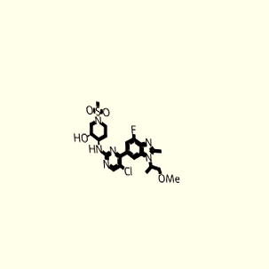 COCC(C)n1c(C)nc2c(F)cc(-c3nc(N[C@@H]4CCN(S(C)(=O)=O)C[C@H]4O)ncc3Cl)cc21